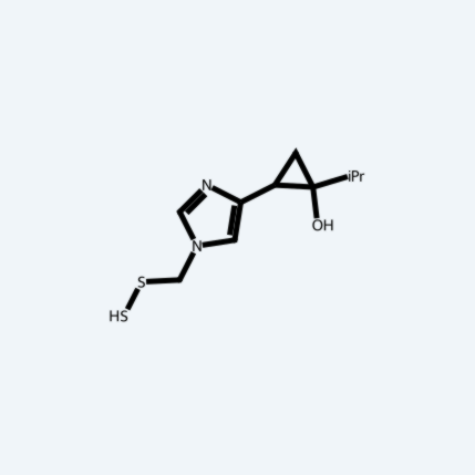 CC(C)C1(O)CC1c1cn(CSS)cn1